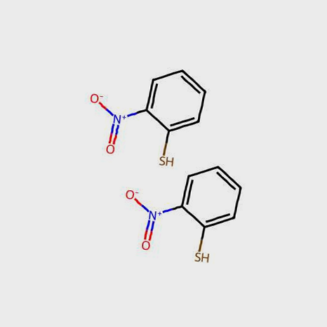 O=[N+]([O-])c1ccccc1S.O=[N+]([O-])c1ccccc1S